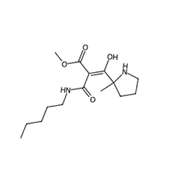 CCCCCNC(=O)/C(C(=O)OC)=C(/O)C1(C)CCCN1